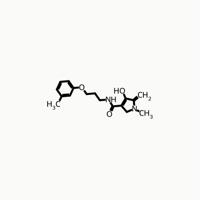 C=C1C(O)=C(C(=O)NCCCOc2cccc(C)c2)CN1C